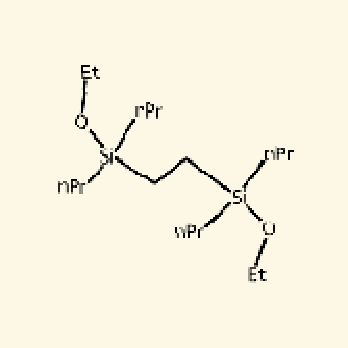 CCC[Si](CCC)(CC[Si](CCC)(CCC)OCC)OCC